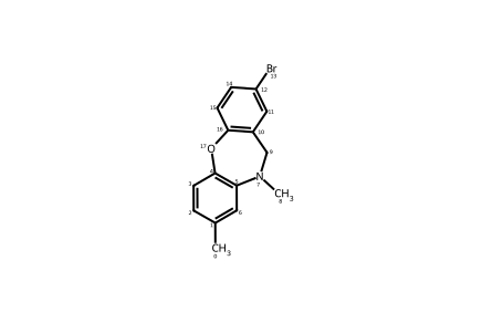 Cc1ccc2c(c1)N(C)Cc1cc(Br)ccc1O2